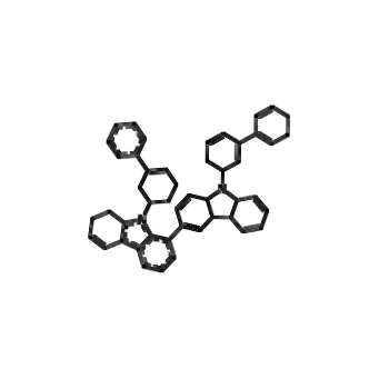 C1=CC2C3C=C(c4cccc5c6c(n(C7CCC=C(c8ccccc8)C7)c45)CCC=C6)C=CC3N(C3C=C(C4=CCCC=C4)C=CC3)C2C=C1